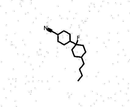 CCCCC1CCC(F)(C2CCC(C#N)CC2)CC1